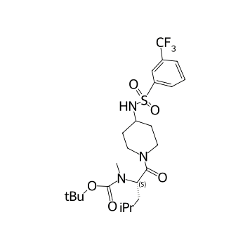 CC(C)C[C@@H](C(=O)N1CCC(NS(=O)(=O)c2cccc(C(F)(F)F)c2)CC1)N(C)C(=O)OC(C)(C)C